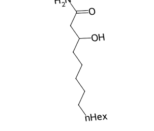 CCCCCCCCCCCC(O)CC(N)=O